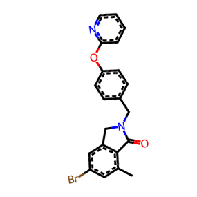 Cc1cc(Br)cc2c1C(=O)N(Cc1ccc(Oc3ccccn3)cc1)C2